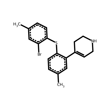 Cc1ccc(Sc2ccc(C)cc2C2=CCNCC2)c(Br)c1